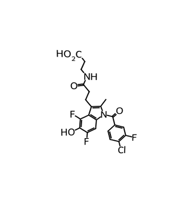 Cc1c(CCC(=O)NCCC(=O)O)c2c(F)c(O)c(F)cc2n1C(=O)c1ccc(Cl)c(F)c1